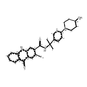 CC(C)(NC(=O)c1cc2[nH]c3ccccc3c(=O)c2cc1F)c1ccc(N2CCC(O)CC2)nc1